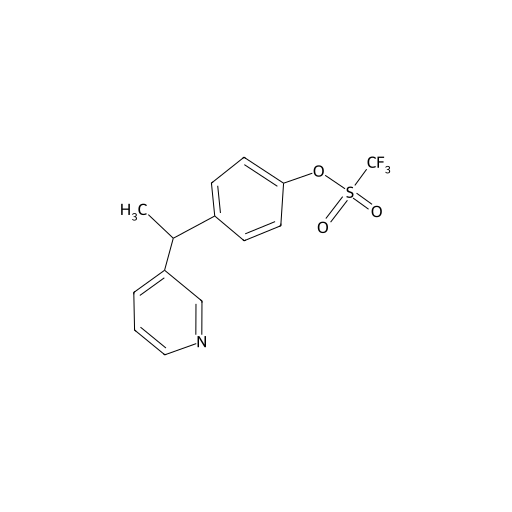 CC(c1ccc(OS(=O)(=O)C(F)(F)F)cc1)c1cccnc1